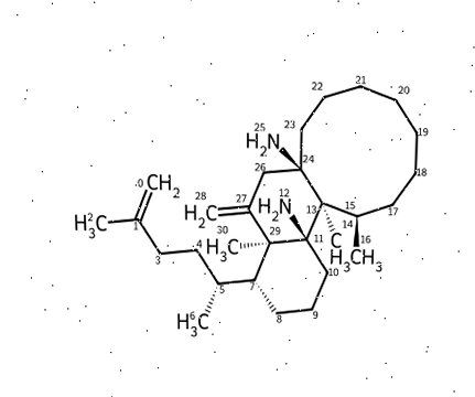 C=C(C)CC[C@@H](C)[C@H]1CCC[C@@]2(N)[C@]3(C)[C@H](C)CCCCCCC[C@@]3(N)CC(=C)[C@]12C